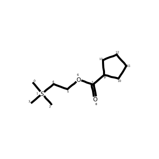 CS(C)(C)CCOC(=O)C1CCCC1